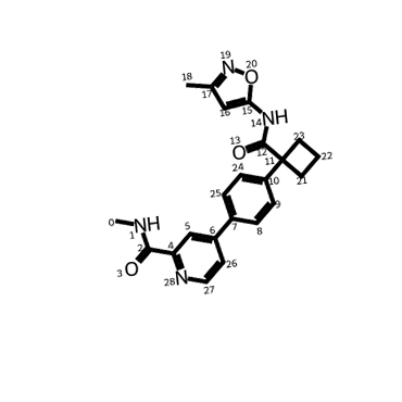 CNC(=O)c1cc(-c2ccc(C3(C(=O)Nc4cc(C)no4)CCC3)cc2)ccn1